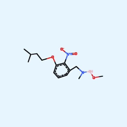 COBN(C)Cc1cccc(OCCC(C)C)c1[N+](=O)[O-]